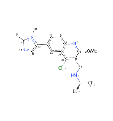 CC[C@@H](NCc1c(OC)nc2ccc(-c3cnc(C)n3C)cc2c1Cl)C(F)(F)F